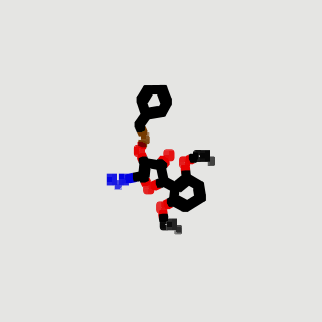 COc1cccc(OC)c1C1OC(N)=C(OSCc2ccccc2)C1=O